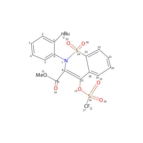 CCCCc1ccccc1N1C(C(=O)OC)=C(OS(=O)(=O)C(F)(F)F)c2ccccc2S1(=O)=O